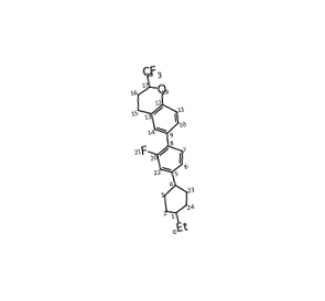 CCC1CCC(c2ccc(-c3ccc4c(c3)CCC(C(F)(F)F)O4)c(F)c2)CC1